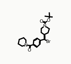 CC(C)(C)OC(=O)N1CCC(=C(Br)c2ccc(C(=O)N3CCCCC3)cc2)CC1